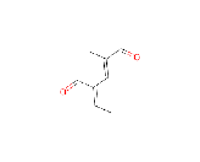 C/C=C(C=O)\C=C(/C)C=O